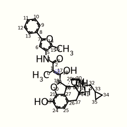 C/C(C(=O)Nc1cc(-c2ccccc2)oc1C)=C(/O)[C@@H]1Oc2c(O)ccc3c2[C@@]12CCN(CC1CC1)[C@H](C3)[C@@]2(C)O